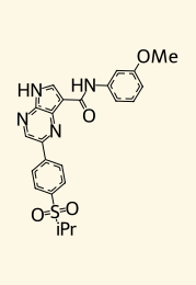 COc1cccc(NC(=O)c2c[nH]c3ncc(-c4ccc(S(=O)(=O)C(C)C)cc4)nc23)c1